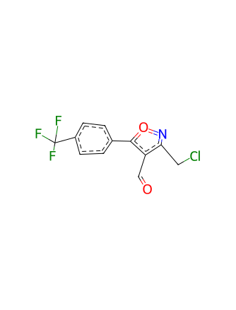 O=Cc1c(CCl)noc1-c1ccc(C(F)(F)F)cc1